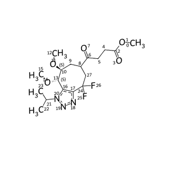 COC(=O)CCC(=O)C1C[C@H](OC)[C@@H](OC)c2c(nnn2C(C)C)C(F)(F)C1